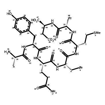 CSCC[C@H](NC(=O)[C@H](CC(C)C)NC(=O)[C@H](CCC(N)=O)NC(=O)[C@H](Cc1ccc(O)cc1)NC(=O)[C@H](C)N)C(=O)N[C@H](C(=O)N[C@@H](CC(=O)O)C(=O)O)C(C)C